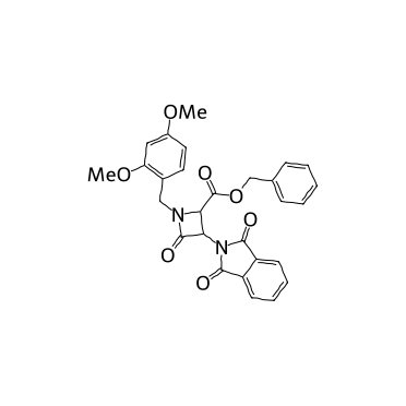 COc1ccc(CN2C(=O)C(N3C(=O)c4ccccc4C3=O)C2C(=O)OCc2ccccc2)c(OC)c1